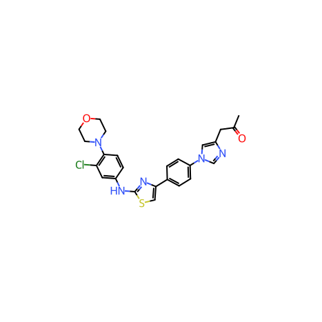 CC(=O)Cc1cn(-c2ccc(-c3csc(Nc4ccc(N5CCOCC5)c(Cl)c4)n3)cc2)cn1